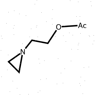 CC(=O)OCCN1CC1